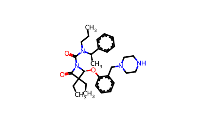 CCCN(C(=O)N1C(=O)C(CC)(CC)[C@@H]1Oc1ccccc1CN1CCNCC1)[C@H](C)c1ccccc1